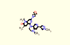 Cc1cc2c(N3CCN(C)c4cc(-c5cnn(C)c5)ncc43)nc(N3CC4(COC4)C3)cc2n(C)c1=O